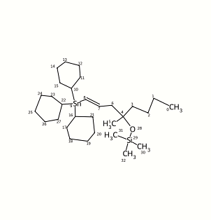 CCCCC(C)(C/C=[CH]/[Sn]([CH]1CCCCC1)([CH]1CCCCC1)[CH]1CCCCC1)O[Si](C)(C)C